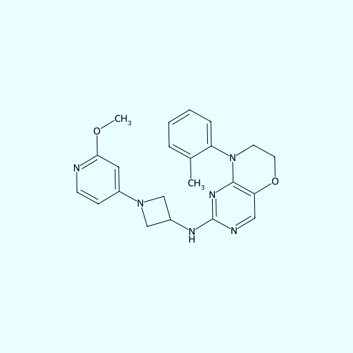 COc1cc(N2CC(Nc3ncc4c(n3)N(c3ccccc3C)CCO4)C2)ccn1